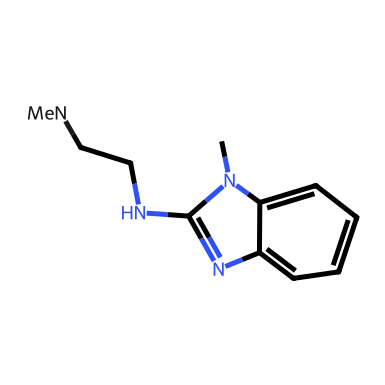 CNCCNc1nc2ccccc2n1C